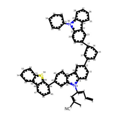 C=C/C=C(\C=C(/C)C#N)n1c2ccc(-c3cccc(-c4ccc5c(c4)c4ccccc4n5-c4ccccc4)c3)cc2c2ccc(-c3cccc4c3sc3ccccc34)cc21